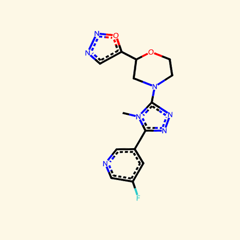 Cn1c(-c2cncc(F)c2)nnc1N1CCOC(c2cnno2)C1